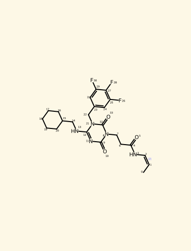 C/C=C\NC(=O)CCn1c(=O)nc(NCC2CCCCC2)n(Cc2cc(F)c(F)c(F)c2)c1=O